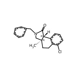 C[C@@]12CCc3c(Cl)cccc3[C@H]1C(=O)N(Cc1ccccc1)C2